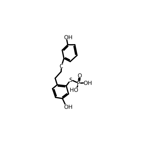 O=P(O)(O)Sc1cc(O)ccc1CCCc1cccc(O)c1